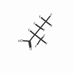 O=C(O)C(F)(C(F)(F)F)C(F)(F)C(F)(F)F